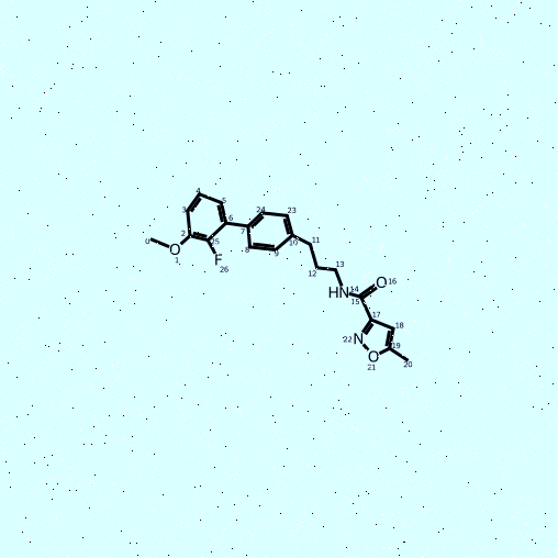 COc1cccc(-c2ccc(CCCNC(=O)c3cc(C)on3)cc2)c1F